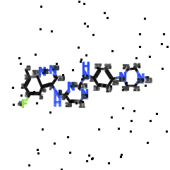 Cc1cc(F)cc2c(Nc3ccnc(Nc4ccc(N5CCN(C)CC5)cc4)n3)cnnc12